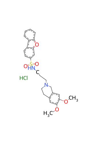 COc1cc2c(cc1OC)CN(CCCNS(=O)(=O)c1ccc3c(c1)oc1ccccc13)CC2.Cl